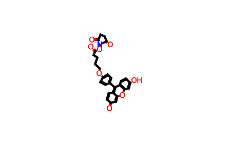 O=C(CCCCOc1ccc(-c2c3ccc(=O)cc-3oc3cc(O)ccc23)cc1)ON1C(=O)CCC1=O